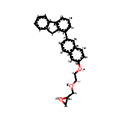 c1ccc2c(c1)Cc1c(-c3ccc4cc(OCCOCC5CO5)ccc4c3)cccc1-2